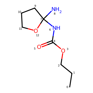 CCCOC(=O)NC1(N)CCCO1